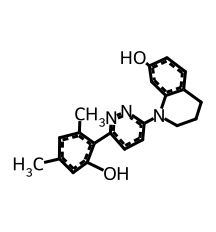 Cc1cc(C)c(-c2ccc(N3CCCc4ccc(O)cc43)nn2)c(O)c1